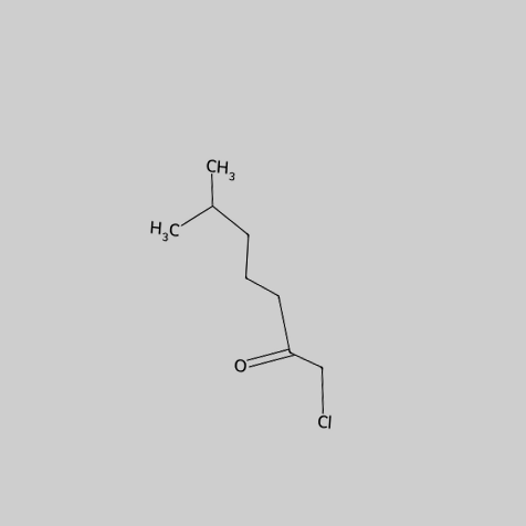 CC(C)CCCC(=O)CCl